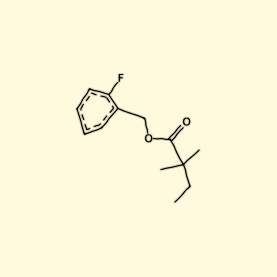 CCC(C)(C)C(=O)OCc1ccccc1F